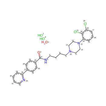 Cl.Cl.O.O=C(NCCCCN1CCN(c2cccc(Cl)c2Cl)CC1)c1ccc(-c2ccccn2)cc1